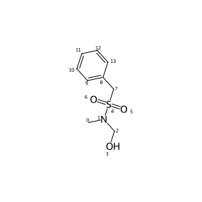 CN(CO)S(=O)(=O)Cc1ccccc1